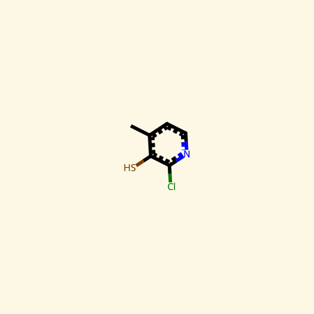 Cc1ccnc(Cl)c1S